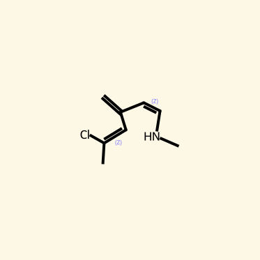 C=C(/C=C\NC)/C=C(/C)Cl